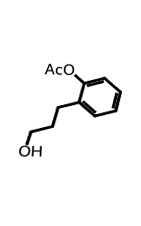 CC(=O)Oc1ccccc1CCCO